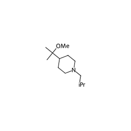 COC(C)(C)C1CCN(CC(C)C)CC1